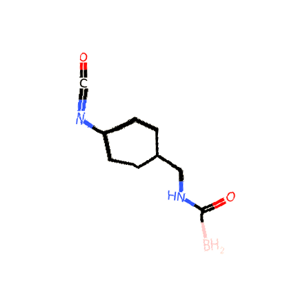 BC(=O)NCC1CCC(N=C=O)CC1